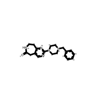 O=C1Cc2cnc(N3CCN(Cc4ccccc4)CC3)nc2CCN1